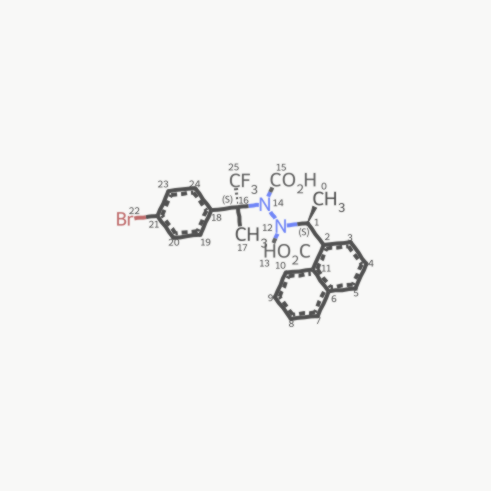 C[C@@H](c1cccc2ccccc12)N(C(=O)O)N(C(=O)O)[C@@](C)(c1ccc(Br)cc1)C(F)(F)F